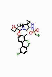 N#C[C@]1(C(=O)N2CC3(CC3)[C@H](NS(=O)(=O)CF)[C@@H]2Cc2cccc(-c3cc(F)ccc3F)c2F)CCO1